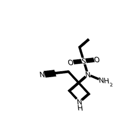 CCS(=O)(=O)N(N)C1(CC#N)CNC1